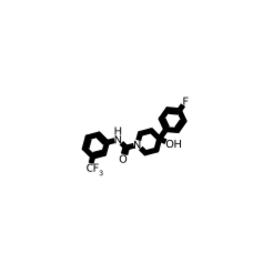 O=C(Nc1cccc(C(F)(F)F)c1)N1CCC(O)(c2ccc(F)cc2)CC1